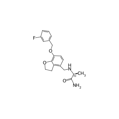 C[C@H](NCc1ccc(OCc2cccc(F)c2)c2c1CCO2)C(N)=O